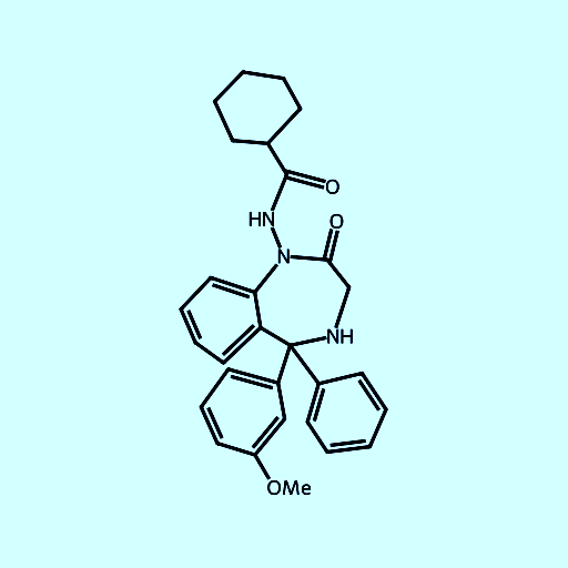 COc1cccc(C2(c3ccccc3)NCC(=O)N(NC(=O)C3CCCCC3)c3ccccc32)c1